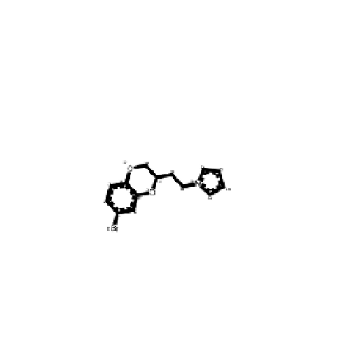 Brc1ccc2c(c1)OC(CCn1cccc1)CO2